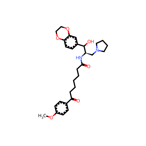 COc1ccc(C(=O)CCCCCC(=O)N[C@H](CN2CCCC2)C(O)c2ccc3c(c2)OCCO3)cc1